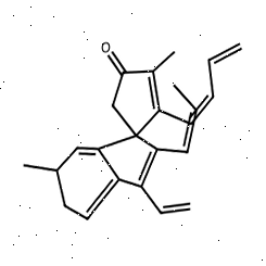 C=C/C=C\C1=C(C)C(=O)CC12C1=CC(C)CC=C1C(C=C)=C2/C=C\C